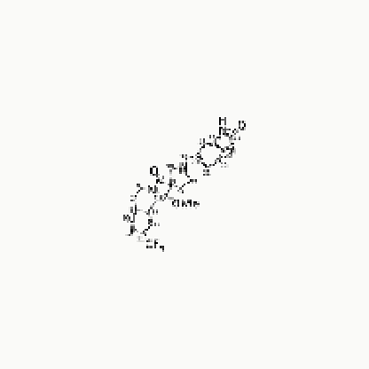 COCC1(C(=O)N2CCc3ncc(C(F)(F)F)cc3C2)CCN(Cc2ccc3sc(=O)[nH]c3c2)C1